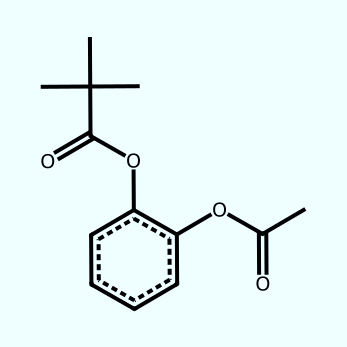 CC(=O)Oc1ccccc1OC(=O)C(C)(C)C